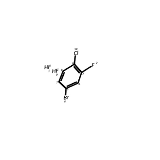 F.F.Fc1cc(Br)ccc1Cl